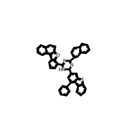 c1ccc(-c2cc(C3N=C(c4ccc5ccccc5c4)N=C(c4cccc5c4oc4ccc6ccccc6c45)N3)cc3sc4ccccc4c23)cc1